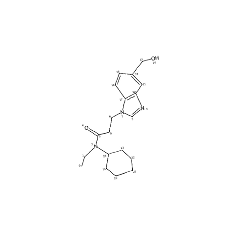 CCN(C(=O)CCn1cnc2cc(CO)ccc21)C1CCCCC1